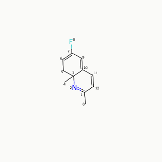 CC1=NC2(C)CC=C(F)C=C2C=C1